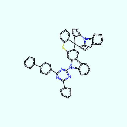 c1ccc(-c2ccc(-c3nc(-c4ccccc4)nc(-n4c5ccccc5c5cc6c(cc54)Sc4ccccc4C64c5ccccc5-n5c6ccccc6c6cccc4c65)n3)cc2)cc1